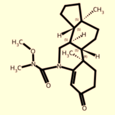 CON(C)C(=O)N1C[C@H]2[C@@H]3CCC[C@@]3(C)CC[C@@H]2[C@@]2(C)CCC(=O)C=C12